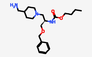 CCCCOC(=O)N[C@H](COCc1ccccc1)CN1CCC(CN)CC1